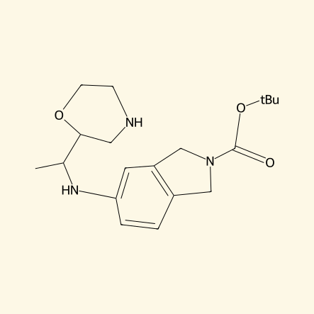 CC(Nc1ccc2c(c1)CN(C(=O)OC(C)(C)C)C2)C1CNCCO1